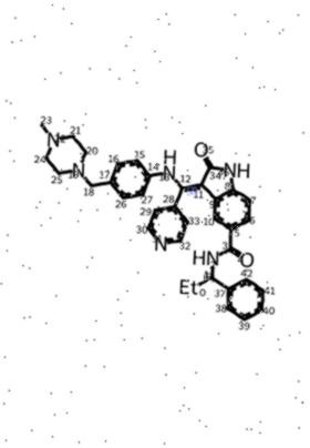 CC[C@@H](NC(=O)c1ccc2c(c1)/C(=C(/Nc1ccc(CN3CCN(C)CC3)cc1)c1ccncc1)C(=O)N2)c1ccccc1